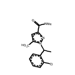 CNC(=O)c1cc(C(=O)O)n(C(C)c2ccccc2Cl)n1